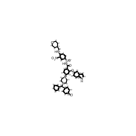 O=C(N[S+]([O-])c1ccc(NCC2CCOCC2)c([N+](=O)[O-])c1)c1ccc(N2CCN(C(c3ccccc3)c3ccc(Cl)cc3)CC2)cc1Oc1ccc2[nH]ccc2c1